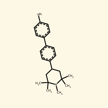 CCCc1ccc(-c2ccc(C3CC(C)(C)N(C)C(C)(C)C3)cc2)cc1